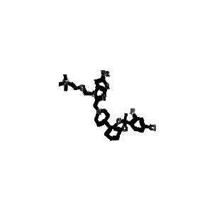 CCc1cc2c(nc(CN3CC=C(c4cccc5c4O[C@](C)(c4ccc(Cl)cc4F)O5)CC3)n2COCC[Si](C)(C)C)s1